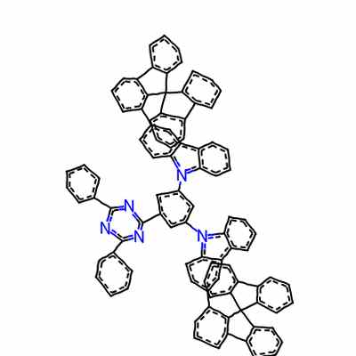 c1ccc(-c2nc(-c3ccccc3)nc(-c3cc(-n4c5ccccc5c5cc(-c6cccc7c6C6(c8ccccc8-c8ccccc86)c6ccccc6-7)ccc54)cc(-n4c5ccccc5c5cc(-c6cccc7c6C6(c8ccccc8-c8ccccc86)c6ccccc6-7)ccc54)c3)n2)cc1